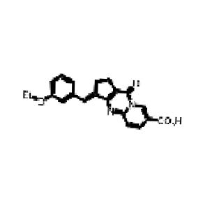 CCOc1cccc(C=C2CCc3c2nc2ccc(C(=O)O)cn2c3=O)c1